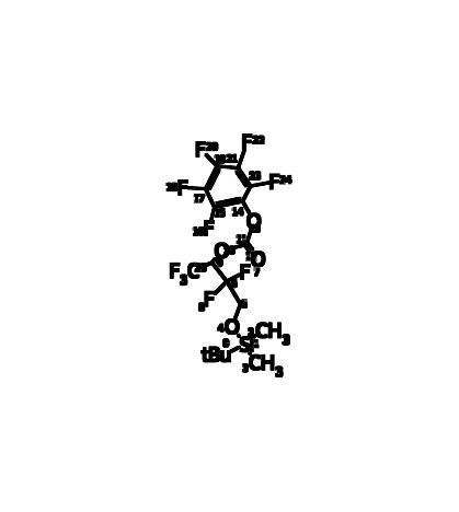 CC(C)(C)[Si](C)(C)OCC(F)(F)C(OC(=O)Oc1c(F)c(F)c(F)c(F)c1F)C(F)(F)F